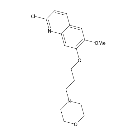 COc1cc2ccc(Cl)nc2cc1OCCCN1CCOCC1